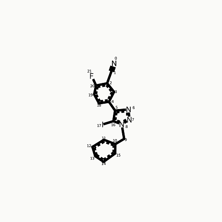 N#Cc1cc(-c2nnn(Cc3ccccc3)c2I)ccc1F